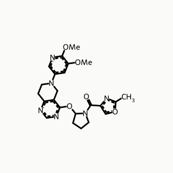 COc1cc(N2CCc3ncnc(OC4CCCN4C(=O)c4coc(C)n4)c3C2)cnc1OC